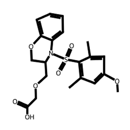 COc1cc(C)c(S(=O)(=O)N2c3ccccc3OCC2COCC(=O)O)c(C)c1